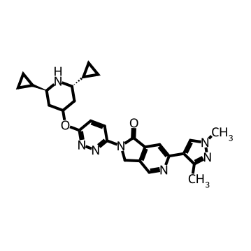 Cc1nn(C)cc1-c1cc2c(cn1)CN(c1ccc(OC3C[C@@H](C4CC4)N[C@H](C4CC4)C3)nn1)C2=O